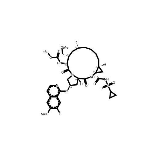 COC[C@@H]1C[C@H](C)CCCC[C@H]2C[C@@]2(C(=O)NS(=O)(=O)C2CC2)NC(=O)[C@@H]2C[C@@H](Oc3nccc4cc(OC)c(F)cc34)CN2C(=O)[C@H]1NC(=O)OC(C)(C)C